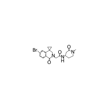 CN1CCC(NC(=O)CN2CC3(CC3)c3cc(Br)ccc3C2=O)CC1=O